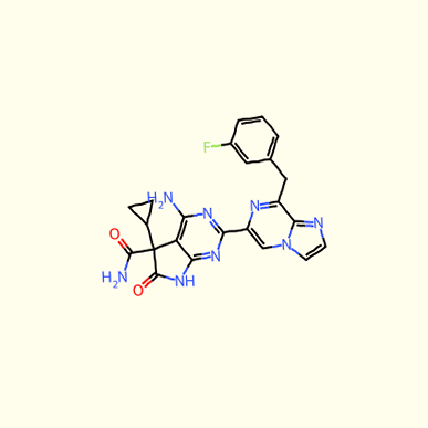 NC(=O)C1(C2CC2)C(=O)Nc2nc(-c3cn4ccnc4c(Cc4cccc(F)c4)n3)nc(N)c21